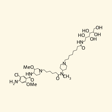 COc1cc(N)c(Cl)cc1C(=O)N[C@@H]1CCN(CCCCCC(=O)N(C)C2CCN(CCCCCCCC(=O)NC[C@H](O)[C@@H](O)[C@H](O)[C@H](O)CO)CC2)C[C@@H]1OC